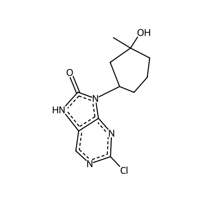 CC1(O)CCCC(n2c(=O)[nH]c3cnc(Cl)nc32)C1